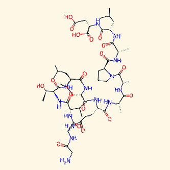 CC(C)C[C@H](NC(=O)[C@H](C)NC(=O)[C@@H]1CCCN1C(=O)[C@H](C)NC(=O)[C@H](C)NC(=O)[C@H](CCC(N)=O)NC(=O)[C@H](CC(C)C)NC(=O)[C@H](CC(C)C)NC(=O)[C@@H](NC(=O)[C@@H](NC(=O)CNC(=O)CN)C(C)C)[C@@H](C)O)C(=O)N[C@@H](CC(=O)O)C(=O)O